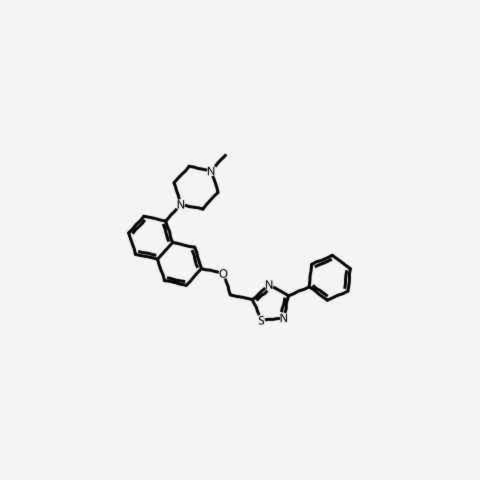 CN1CCN(c2cccc3ccc(OCc4nc(-c5ccccc5)ns4)cc23)CC1